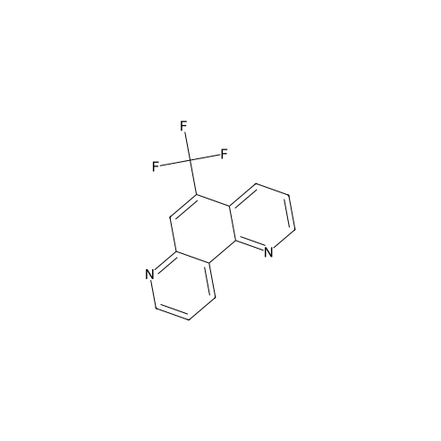 FC(F)(F)c1cc2ncccc2c2ncccc12